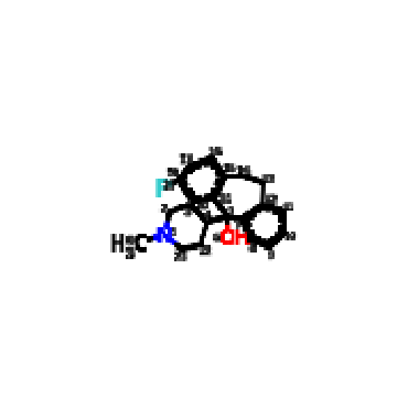 CN1CCC(C2(O)c3ccccc3CCc3ccc(F)cc32)CC1